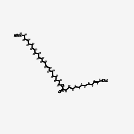 CCCCCCCCC=CCCCCCCCCCC(=O)OCCCCCCCCCCCCCCCCCCCCCCCCCCCCCCCC